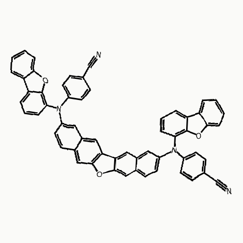 N#Cc1ccc(N(c2ccc3cc4oc5cc6ccc(N(c7ccc(C#N)cc7)c7cccc8c7oc7ccccc78)cc6cc5c4cc3c2)c2cccc3c2oc2ccccc23)cc1